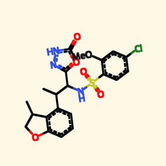 COc1cc(Cl)ccc1S(=O)(=O)NC(c1n[nH]c(=O)o1)C(C)c1cccc2c1C(C)CO2